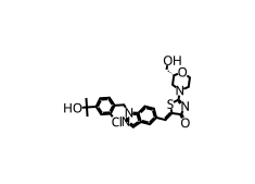 CC(C)(O)c1ccc(Cn2ncc3cc(/C=C4\SC(N5CCO[C@@H](CO)C5)=NC4=O)ccc32)c(Cl)c1